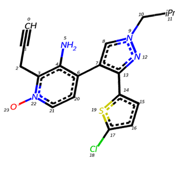 C#CCc1c(N)c(-c2cn(CC(C)C)nc2-c2ccc(Cl)s2)cc[n+]1[O-]